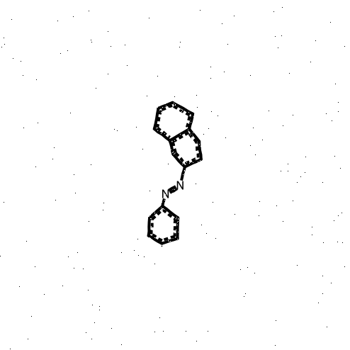 [c]1ccc(N=Nc2ccc3ccccc3c2)cc1